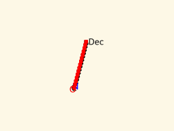 CCCCCCCCCCCCCCCCCCCCCCCCCCCCCCCCCCCCN=C=O